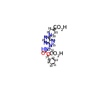 O=C(O)CC(NC(=O)OCc1ccccc1)n1cnc2c(N3CCC(C(=O)O)CC3)ncnc21